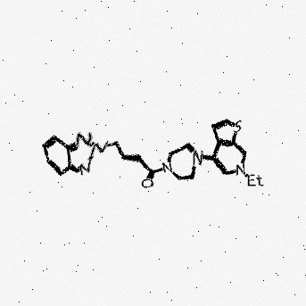 CCN1C=C(N2CCN(C(=O)CCCn3nc4ccccc4n3)CC2)c2ccsc2C1